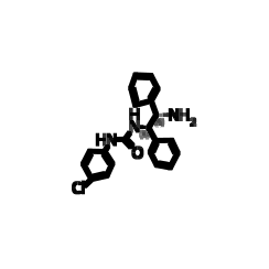 N[C@@H](c1ccccc1)[C@@H](NC(=O)Nc1ccc(Cl)cc1)c1ccccc1